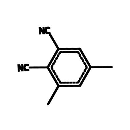 Cc1cc(C)c(C#N)c(C#N)c1